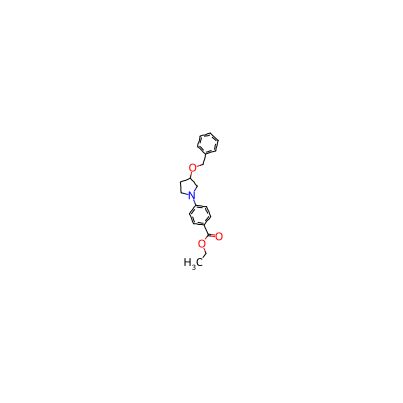 CCOC(=O)c1ccc(N2CCC(OCc3ccccc3)C2)cc1